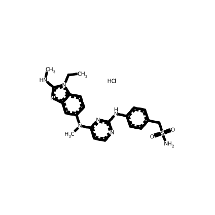 CCn1c(NC)nc2cc(N(C)c3ccnc(Nc4ccc(CS(N)(=O)=O)cc4)n3)ccc21.Cl